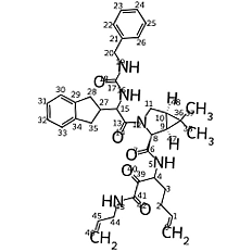 C=CCCC(NC(=O)[C@@H]1[C@H]2[C@@H](CN1C(=O)C(NC(=O)NCc1ccccc1)C1Cc3ccccc3C1)C2(C)C)C(=O)C(=O)NCC=C